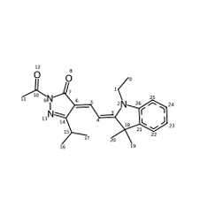 CCN1/C(=C\C=C2\C(=O)N(C(C)=O)N=C2C(C)C)C(C)(C)c2ccccc21